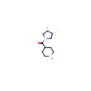 CN1CCC(C(=O)N2C[C@@H](N)[C@@H](N)C2)CC1